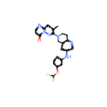 Cc1cc2nccc(=O)n2nc1N1CCc2ncc(Nc3cccc(OC(F)F)c3)cc2C1